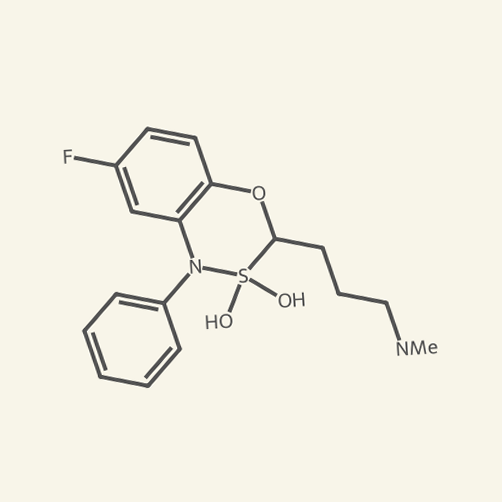 CNCCCC1Oc2ccc(F)cc2N(c2ccccc2)S1(O)O